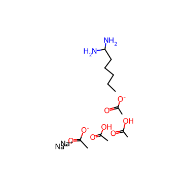 CC(=O)O.CC(=O)O.CC(=O)[O-].CC(=O)[O-].CCCCCC(N)N.[Na+].[Na+]